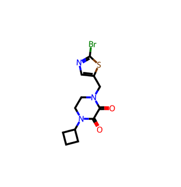 O=C1C(=O)N(C2CCC2)CCN1Cc1cnc(Br)s1